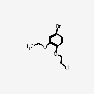 CCOc1cc(Br)ccc1OCCCl